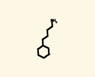 NCCCCC1C[CH]CCC1